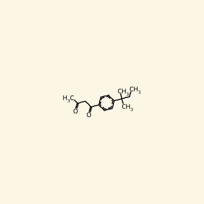 CCC(C)(C)c1ccc(C(=O)CC(C)=O)cc1